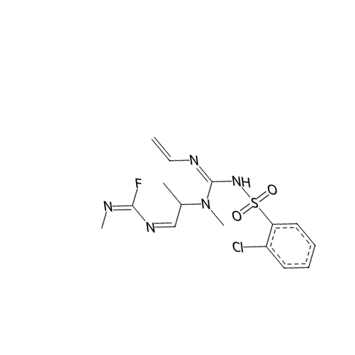 C=C/N=C(/NS(=O)(=O)c1ccccc1Cl)N(C)C(C)/C=N\C(F)=N/C